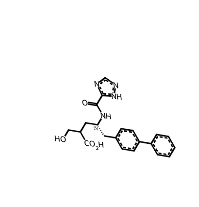 O=C(N[C@H](Cc1ccc(-c2ccccc2)cc1)CC(CO)C(=O)O)c1ncn[nH]1